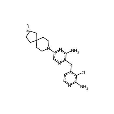 C[C@H]1CCC2(CCN(c3cnc(Sc4ccnc(N)c4Cl)c(N)n3)CC2)C1